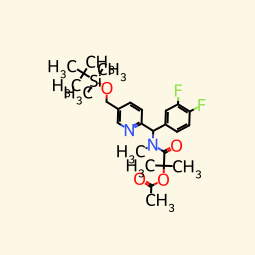 CC(=O)OC(C)(C)C(=O)N(C)C(c1ccc(F)c(F)c1)c1ccc(CO[Si](C)(C)C(C)(C)C)cn1